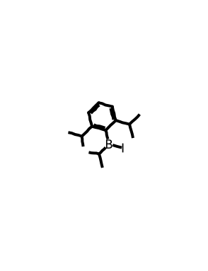 CC(C)B(I)c1c(C(C)C)cccc1C(C)C